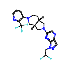 FC(F)Cn1ncc2ncc(N3C[C@H]4CCN(c5cccnc5C(F)(F)F)C[C@H]4C3)nc21